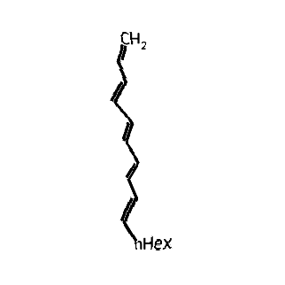 C=CC=CC=CC=CC=CCCCCCC